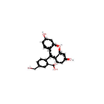 O=C(O)c1cc(CBr)ccc1-c1c2ccc(=O)cc-2oc2cc(O)ccc12